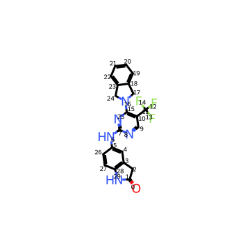 O=C1Cc2cc(Nc3ncc(C(F)(F)F)c(N4Cc5ccccc5C4)n3)ccc2N1